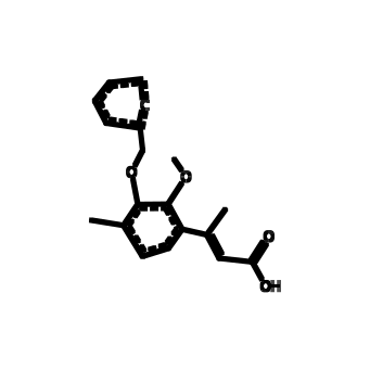 COc1c(/C(C)=C/C(=O)O)ccc(C)c1OCc1ccccc1